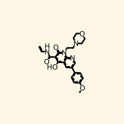 C=CNC(=O)c1c(O)c2cc(-c3ccc(OC)cc3)cnc2n(CCN2CCOCC2)c1=O